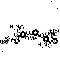 COc1cc(C(=O)N2CCCC2CO[Si](C)(C)C(C)(C)C)c(N)cc1OCc1cccc(COc2cc(OC(N)=O)c(C(=O)N3CCCC3CO[Si](C)(C)C(C)(C)C)cc2OC)c1